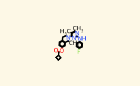 Cc1nc(Nc2ccc(F)cc2)nc(N2CCc3ccc(OC(=O)C4CCC4)cc3C2C)c1C